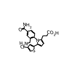 NCc1cc(C(N)=O)ccc1-n1c(CCC(=O)O)ccc1-c1cc(Cl)cs1